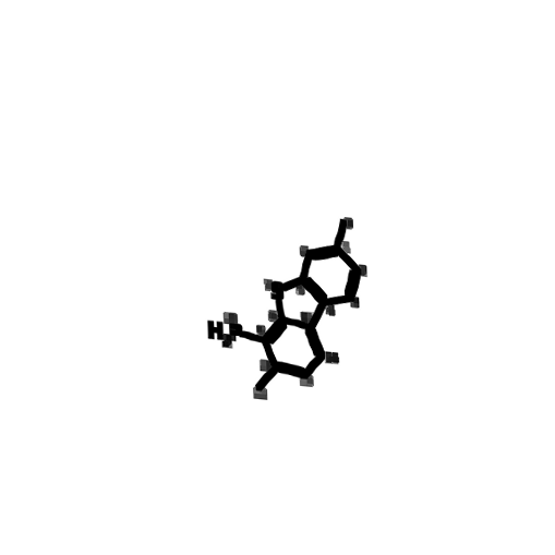 Cc1ccc2c(c1)sc1c(P)c(C)ccc12